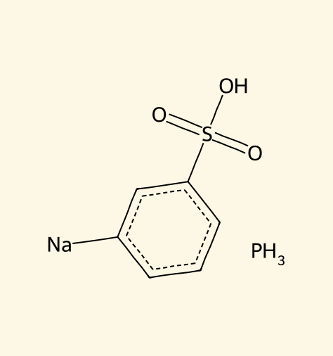 O=S(=O)(O)c1ccc[c]([Na])c1.P